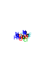 Cn1nccc1[C@H]1CC(F)(F)C[C@@]1(C)Oc1cc(F)c(S(=O)(=O)Nc2ccncn2)cc1Cl